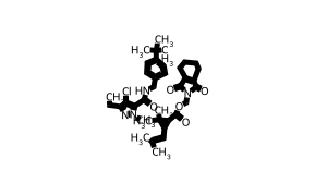 CC(C)=CC1C(C(=O)OCN2C(=O)C3=C(CCCC3)C2=O)C1(C)C.CCc1nn(C)c(C(=O)NCc2ccc(C(C)(C)C)cc2)c1Cl